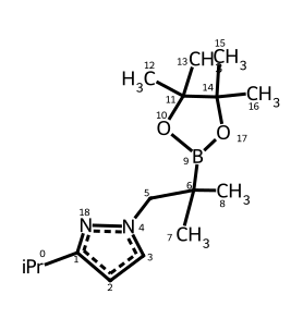 CC(C)c1ccn(CC(C)(C)B2OC(C)(C)C(C)(C)O2)n1